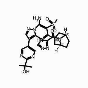 CC(C)(O)c1ncc(-c2cnn3c(N)c(S(C)(=O)=O)c([C@H]4C[C@H]5CC[C@@H](C4)N5C(=O)c4nnc[nH]4)nc23)cn1